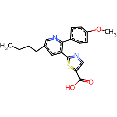 CCCCc1cnc(-c2ccc(OC)cc2)c(-c2ncc(C(=O)O)s2)c1